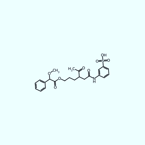 COC(C(=O)OCCCC(CC(=O)Nc1cccc(S(=O)(=O)O)c1)C(C)=O)c1ccccc1